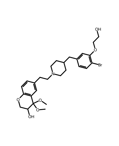 COC1(OC)c2cc(CCN3CCC(Cc4ccc(Br)c(OCCO)c4)CC3)ccc2OCC1O